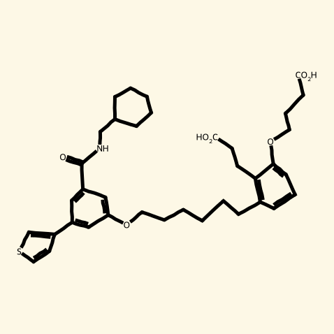 O=C(O)CCCOc1cccc(CCCCCCOc2cc(C(=O)NCC3CCCCC3)cc(-c3ccsc3)c2)c1CCC(=O)O